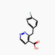 O=C(O)c1ccnnc1Cc1ccc(F)cc1